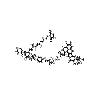 CC[C@@]1(O)C(=O)OCc2c1cc1n(c2=O)Cc2c-1nc1cc(F)c(C)c3c1c2[C@@H](NC(=O)CCNCCN(C)C(=O)OCc1ccc(NC(=O)CNC(=O)[C@H](Cc2ccccc2)NC(=O)CNC(=O)CNC(=O)CCCCCN2C(=O)C=CC2=O)cc1)CC3